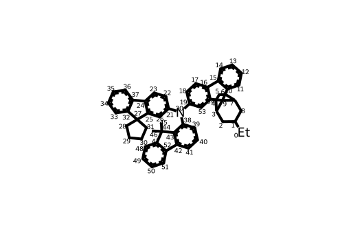 CCC1CC2CCCC(C1)C21c2ccccc2-c2ccc(N(c3ccc4c(c3)C3(CCCC3)c3ccccc3-4)c3cccc4c3C(C)(C)c3ccccc3-4)cc21